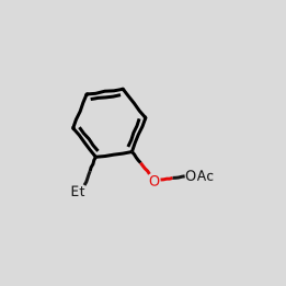 CCc1ccccc1OOC(C)=O